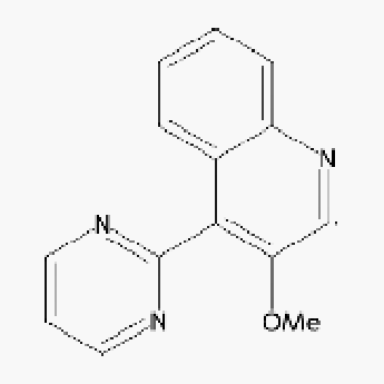 COc1[c]nc2ccccc2c1-c1ncccn1